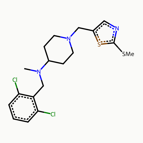 CSc1ncc(CN2CCC(N(C)Cc3c(Cl)cccc3Cl)CC2)s1